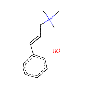 C[N+](C)(C)CC=Cc1ccccc1.[OH-]